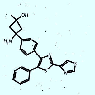 CC1(O)CC(N)(c2ccc(-c3nc(-c4cscn4)sc3-c3ccccc3)cc2)C1